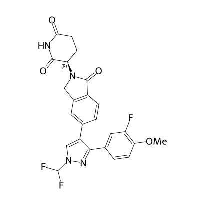 COc1ccc(-c2nn(C(F)F)cc2-c2ccc3c(c2)CN([C@@H]2CCC(=O)NC2=O)C3=O)cc1F